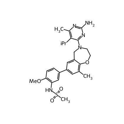 COc1ccc(-c2cc(C)c3c(c2)CN(c2nc(N)nc(C)c2C(C)C)CCO3)cc1NS(C)(=O)=O